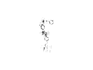 CCCC(=O)NCCc1ccc(S(=O)(=O)NC(=O)c2ccc(OC(=O)OCc3ccccc3)nc2)cc1